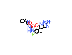 CNc1ncc2cc(-c3cc(NC(=O)Nc4cc(C5(C)CCCC5)no4)c(F)cc3C)c(=O)n(C)c2n1